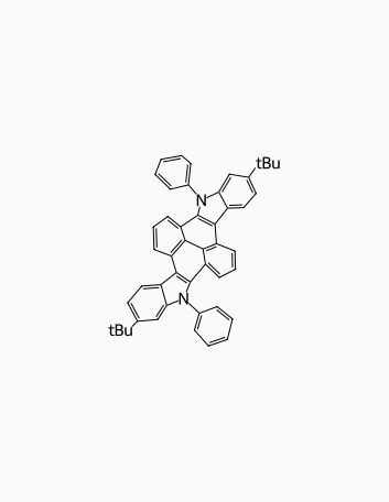 CC(C)(C)c1ccc2c3c4cccc5c4c4c(cccc4c3n(-c3ccccc3)c2c1)c1c2ccc(C(C)(C)C)cc2n(-c2ccccc2)c51